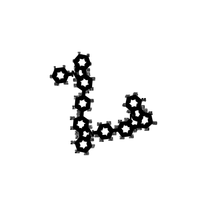 c1ccc(-n2c3ccccc3c3ccc(-c4ccc(-c5ccc6c7ccccc7n(-c7ccc(-c8ccc9c%10cccc%11c%12ccccc%12n(c9c8)c%11%10)cc7)c6c5)cc4)cc32)cc1